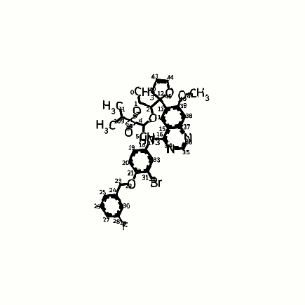 CCC(OC(C)S(=O)(=O)C(C)C)C1(c2cc3c(Nc4ccc(OCc5cccc(F)c5)c(Br)c4)ncnc3cc2OC)CC=CO1